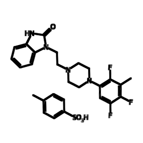 Cc1c(F)c(F)cc(N2CCN(CCn3c(=O)[nH]c4ccccc43)CC2)c1F.Cc1ccc(S(=O)(=O)O)cc1